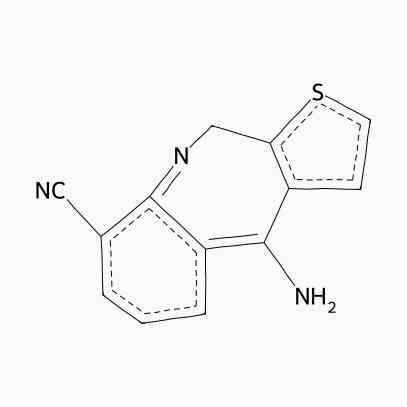 N#Cc1cccc2c1=NCc1sccc1C=2N